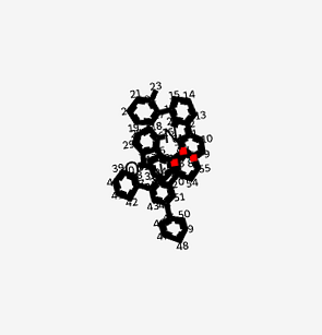 Cc1ccccc1-c1cccc2c3cccc(-c4ccccc4C)c3n(-c3cccc4c3C(=O)N(c3c(-c5ccccc5)cc(-c5ccccc5)cc3-c3ccccc3)C4=O)c12